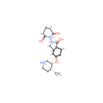 C[C@@H]1CCNC[C@@H]1Oc1ccc2c(c1)CN(N1C(=O)CCCC1=O)C2=O